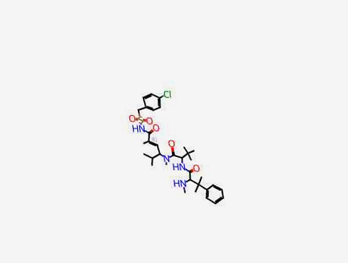 CNC(C(=O)NC(C(=O)N(C)C(/C=C(\C)C(=O)NS(=O)(=O)Cc1ccc(Cl)cc1)C(C)C)C(C)(C)C)C(C)(C)c1ccccc1